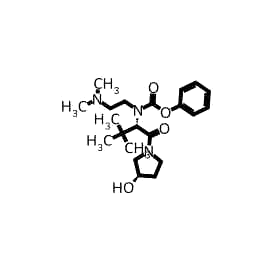 CN(C)CCN(C(=O)Oc1ccccc1)[C@H](C(=O)N1CC[C@@H](O)C1)C(C)(C)C